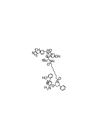 Cc1ncsc1-c1ccc(CNC(=O)[C@H]2C[C@H](O)CN2C(=O)C(NC(=O)CCCCCCCCC(=O)N2CC(Oc3cc(-c4ccccc4O)nnc3N)CC(c3ccccc3)C2)C(C)(C)C)cc1